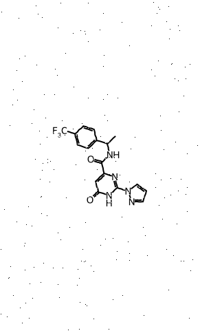 CC(NC(=O)c1cc(=O)[nH]c(-n2cccn2)n1)c1ccc(C(F)(F)F)cc1